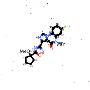 COC1(c2nc(-c3ncn4c3c(=O)n(C(C)C)c3cc(F)ccc34)no2)CCCC1